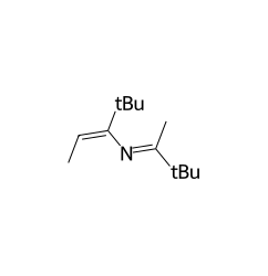 C/C=C(\N=C(/C)C(C)(C)C)C(C)(C)C